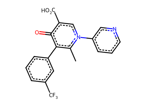 Cc1c(-c2cccc(C(F)(F)F)c2)c(=O)c(C(=O)O)cn1-c1cccnc1